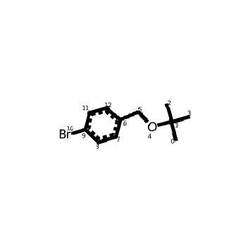 CC(C)(C)OCc1ccc(Br)cc1